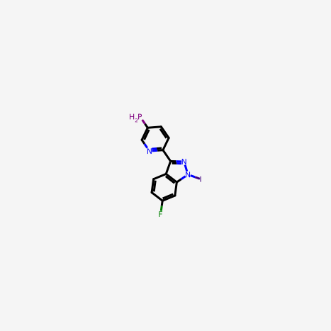 Fc1ccc2c(-c3ccc(P)cn3)nn(I)c2c1